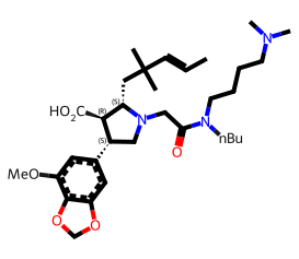 CC=CC(C)(C)C[C@H]1[C@H](C(=O)O)[C@@H](c2cc(OC)c3c(c2)OCO3)CN1CC(=O)N(CCCC)CCCCN(C)C